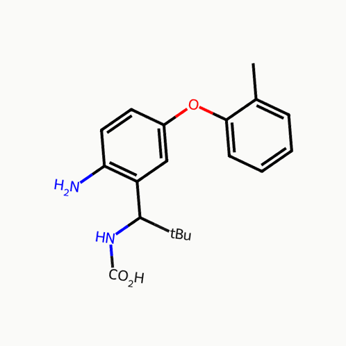 Cc1ccccc1Oc1ccc(N)c(C(NC(=O)O)C(C)(C)C)c1